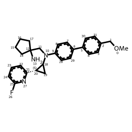 COCc1ccc(-c2ccc(N(CC3(N)CCCC3)C3C[C@@H]3c3cccc(F)n3)cc2)cc1